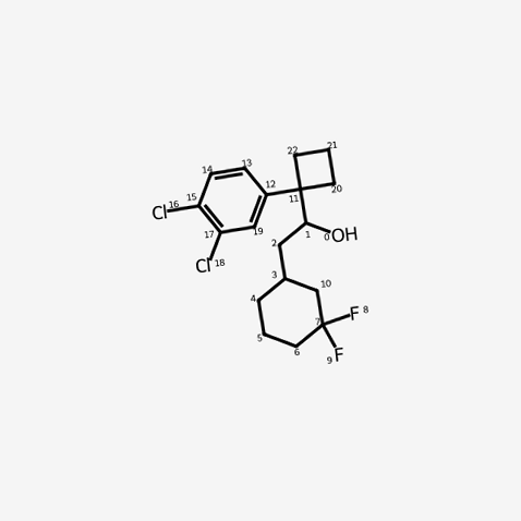 OC(CC1CCCC(F)(F)C1)C1(c2ccc(Cl)c(Cl)c2)CCC1